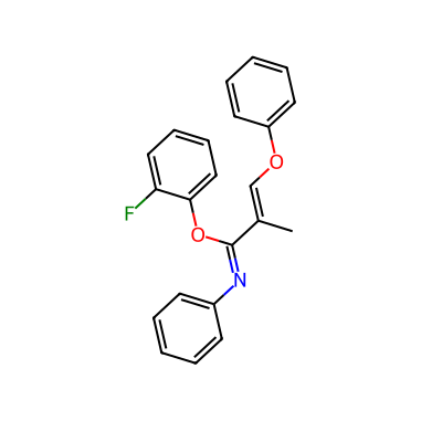 CC(=C\Oc1ccccc1)/C(=N/c1ccccc1)Oc1ccccc1F